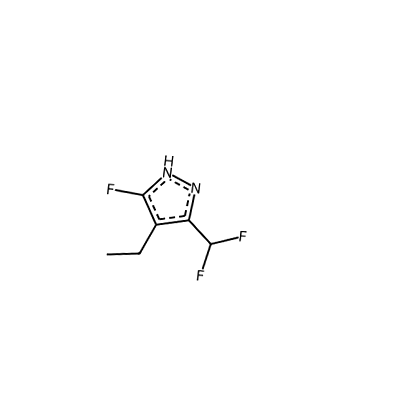 CCc1c(C(F)F)n[nH]c1F